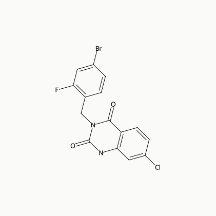 O=C1[N]c2cc(Cl)ccc2C(=O)N1Cc1ccc(Br)cc1F